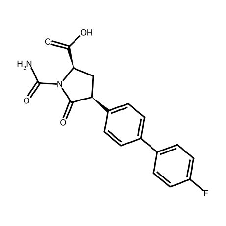 NC(=O)N1C(=O)[C@H](c2ccc(-c3ccc(F)cc3)cc2)C[C@@H]1C(=O)O